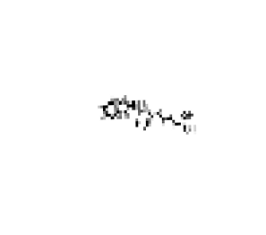 NC(CCCCB(O)O)CCNC1Cc2ccccc2C1